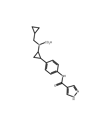 O=C(Nc1ccc(C2CC2N(CC2CC2)C(=O)O)cc1)c1cn[nH]c1